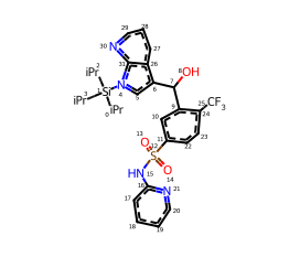 CC(C)[Si](C(C)C)(C(C)C)n1cc(C(O)c2cc(S(=O)(=O)Nc3ccccn3)ccc2C(F)(F)F)c2cccnc21